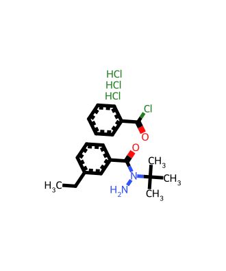 CCc1cccc(C(=O)N(N)C(C)(C)C)c1.Cl.Cl.Cl.O=C(Cl)c1ccccc1